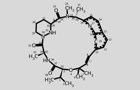 CC(C)[C@@H]1OC(C)(C)/C=C/c2ccc3ccc(nc3c2)[C@@H](C)N(C)C(=O)[C@@H]2CCCN(N2)C(=O)[C@H](C)NC1=O